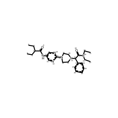 CCC(CC)C(=O)Nc1cnc(N2CCN(C(C(=O)N(CC)CC)c3ccccc3)CC2)nc1